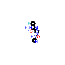 NC(=O)c1c(-c2cccc(F)c2)nn2c1CN(C(=O)Nc1cccnc1)CC2